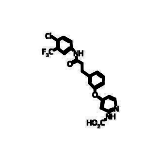 O=C(O)Nc1cc(Oc2cccc(CCC(=O)Nc3ccc(Cl)c(C(F)(F)F)c3)c2)ccn1